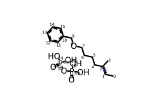 C/C=C(\C)CCCCOCc1ccccc1.O=P(O)(O)OP(=O)(O)O